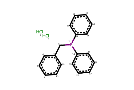 Cl.Cl.c1ccc(CP(c2ccccc2)c2ccccc2)cc1